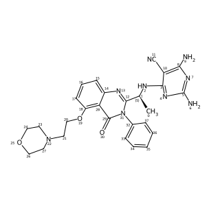 C[C@H](Nc1nc(N)nc(N)c1C#N)c1nc2cccc(OCCN3CCOCC3)c2c(=O)n1-c1ccccc1